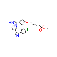 CCOC(=O)CCCCCCOc1ccc(C2=CNC3C=CC(C4=CN=C4c4ccc(F)cc4)=CN23)cc1